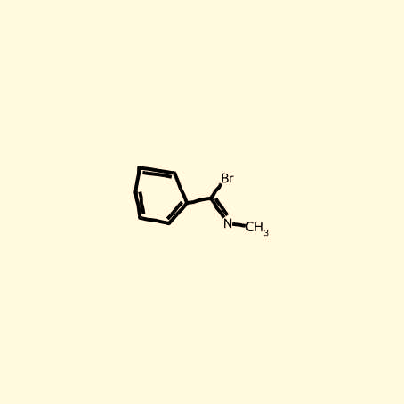 C/N=C(\Br)c1ccccc1